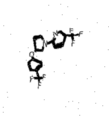 FC(F)(F)c1ccc(OC2CCN(c3ccc(C(F)(F)F)cn3)C2)cc1